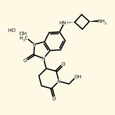 Cl.Cl.Cn1c(=O)n(C2CCC(=O)N(CO)C2=O)c2ccc(N[C@H]3C[C@H](N)C3)cc21